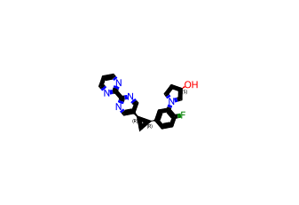 O[C@H]1CCN(c2cc([C@@H]3C[C@H]3c3cnc(-c4ncccn4)nc3)ccc2F)C1